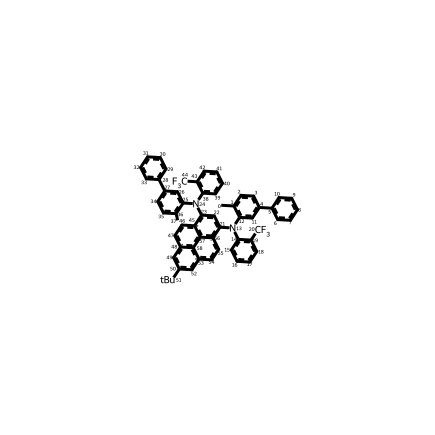 Cc1ccc(-c2ccccc2)cc1N(c1ccccc1C(F)(F)F)c1cc(N(c2cc(-c3ccccc3)ccc2C)c2ccccc2C(F)(F)F)c2ccc3cc(C(C)(C)C)cc4ccc1c2c43